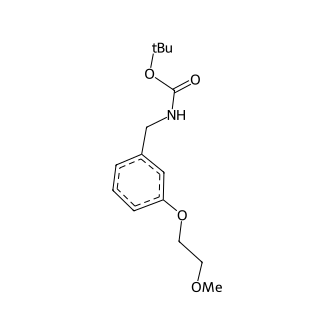 COCCOc1cccc(CNC(=O)OC(C)(C)C)c1